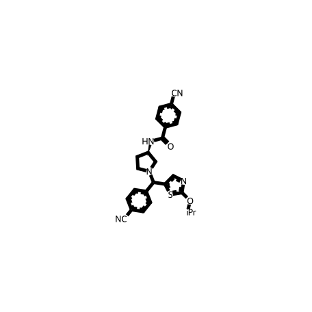 CC(C)Oc1ncc(C(c2ccc(C#N)cc2)N2CC[C@@H](NC(=O)c3ccc(C#N)cc3)C2)s1